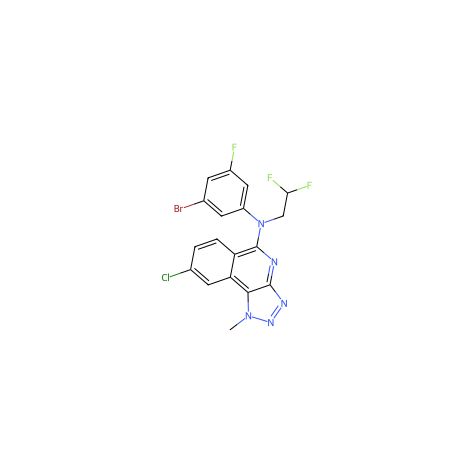 Cn1nnc2nc(N(CC(F)F)c3cc(F)cc(Br)c3)c3ccc(Cl)cc3c21